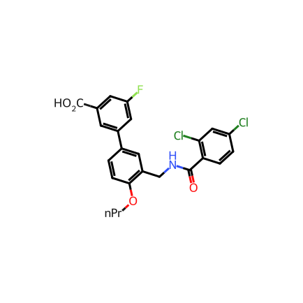 CCCOc1ccc(-c2cc(F)cc(C(=O)O)c2)cc1CNC(=O)c1ccc(Cl)cc1Cl